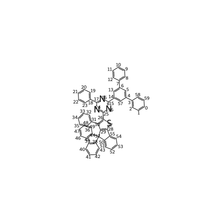 c1ccc(-c2cc(-c3ccccc3)cc(-c3nc(-c4ccccc4)nc(-c4sc5c(c4-c4ccccc4)C(c4ccccc4)(c4ccccc4)c4ccccc4-5)n3)c2)cc1